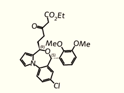 CCOC(=O)CC(=O)CC[C@H]1O[C@H](c2cccc(OC)c2OC)c2cc(Cl)ccc2-n2cccc21